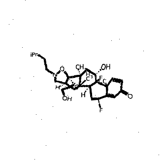 CC(C)CCN1C[C@@H]2C[C@@]3(C)[C@@H]4C[C@H](F)C5=CC(=O)C=C[C@]5(C)[C@@]4(F)[C@@H](O)C[C@]3(C)[C@]2(C(=O)CO)O1